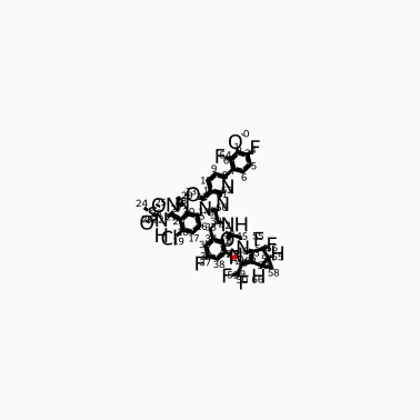 COc1c(F)ccc(-c2ccc3c(=O)n(-c4ccc(Cl)c5c(NS(C)(=O)=O)nn(C)c45)c([C@H](Cc4cc(F)cc(F)c4)NC(=O)Cn4nc(C(F)F)c5c4C(F)(F)[C@@H]4C[C@H]54)nc3n2)c1F